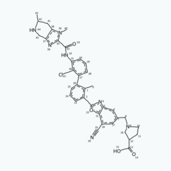 Cc1c(-c2nc3cc(CN4CCC(C(=O)O)C4)cc(C#N)c3o2)cccc1-c1cccc(NC(=O)c2nc3c(n2C)CC(C)NC3)c1Cl